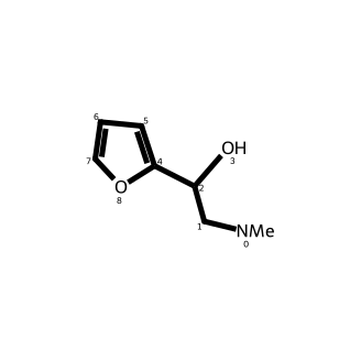 CNCC(O)c1ccco1